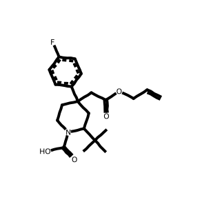 C=CCOC(=O)CC1(c2ccc(F)cc2)CCN(C(=O)O)C(C(C)(C)C)C1